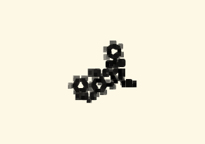 CCCCc1nc(S(=O)(=O)c2ccccc2)c(C(=O)O)n1Cc1ccc(-c2ccccc2)c(C(=O)O)c1